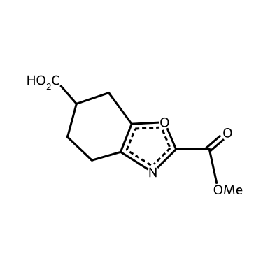 COC(=O)c1nc2c(o1)CC(C(=O)O)CC2